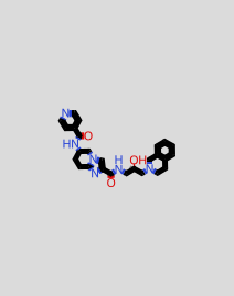 O=C(NC1CCc2nc(C(=O)NC[C@H](O)CN3CCc4ccccc4C3)cn2C1)c1ccncc1